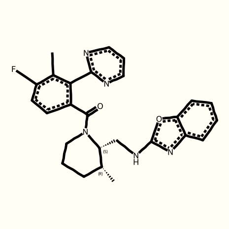 Cc1c(F)ccc(C(=O)N2CCC[C@@H](C)[C@H]2CNc2nc3ccccc3o2)c1-c1ncccn1